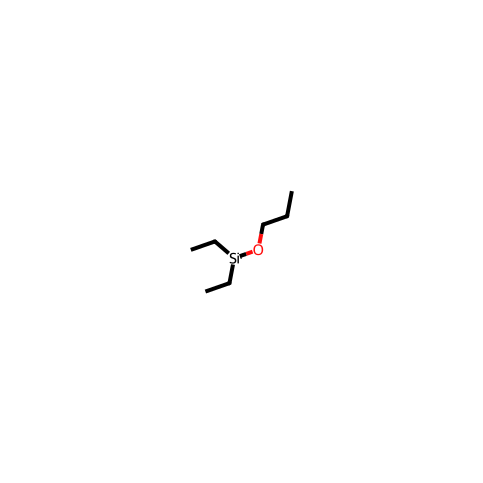 CCCO[Si](CC)CC